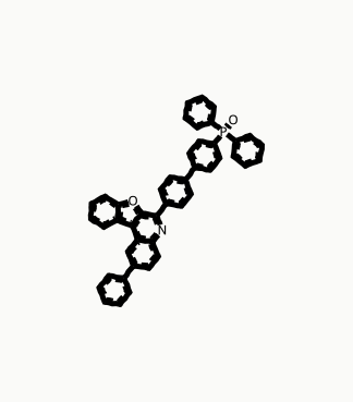 O=P(c1ccccc1)(c1ccccc1)c1ccc(-c2ccc(-c3nc4ccc(-c5ccccc5)cc4c4c3oc3ccccc34)cc2)cc1